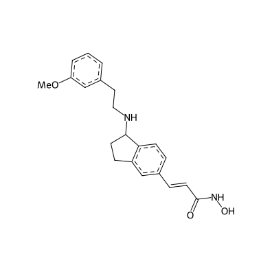 COc1cccc(CCNC2CCc3cc(/C=C/C(=O)NO)ccc32)c1